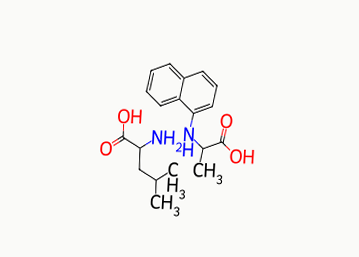 CC(C)CC(N)C(=O)O.CC(Nc1cccc2ccccc12)C(=O)O